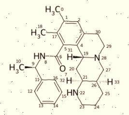 Cc1cc2c(c(C(=O)N[C@H](C)c3ccccc3)c1C)[C@H]1C[C@@H]3NCCC[C@@H]3CN1CC2